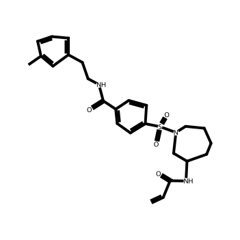 C=CC(=O)NC1CCCCN(S(=O)(=O)c2ccc(C(=O)NCCc3cccc(C)c3)cc2)C1